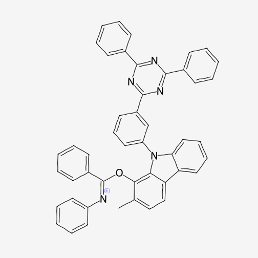 Cc1ccc2c3ccccc3n(-c3cccc(-c4nc(-c5ccccc5)nc(-c5ccccc5)n4)c3)c2c1O/C(=N/c1ccccc1)c1ccccc1